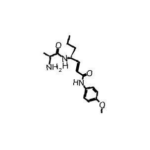 CCC[C@@H](C=CC(=O)Nc1ccc(OC)cc1)NC(=O)[C@H](C)N